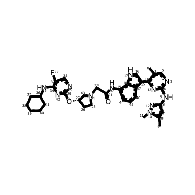 Cc1cnc(Nc2cc(C)n(C)n2)nc1-c1c[nH]c2c(NC(=O)CN3CC[C@H](Oc4ncc(F)c(NC5CCCCC5)n4)C3)cccc12